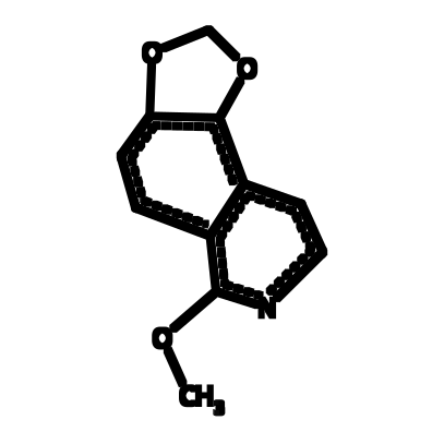 COc1nccc2c3c(ccc12)OCO3